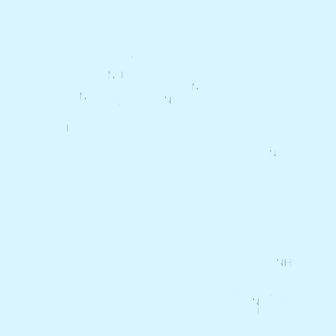 CC(C)Oc1cc2nc(C3CCC(CN4CCC(c5ccc(NC6CCC(=O)NC6=O)cc5)CC4)CC3)cn2cc1C(=O)Nc1cccc(C(F)F)n1